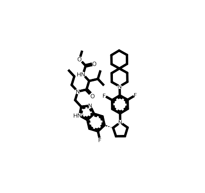 CCCN(Cc1nc2cc([C@H]3CCCN3c3cc(F)c(N4CCC5(CCCCC5)CC4)c(F)c3)c(F)cc2[nH]1)C(=O)C(NC(=O)OC)C(C)C